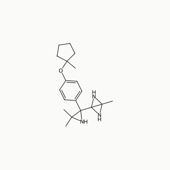 CC1(Oc2ccc(C3(C45NC4(C)N5)NC3(C)C)cc2)CCCC1